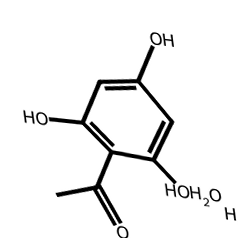 CC(=O)c1c(O)cc(O)cc1O.O.O